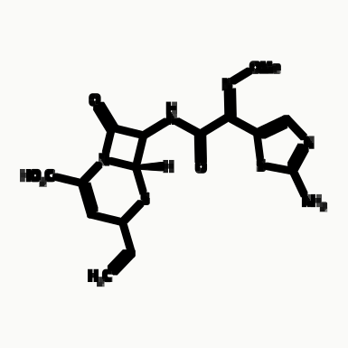 C=CC1C=C(C(=O)O)N2C(=O)C(NC(=O)C(=NOC)c3cnc(N)s3)[C@@H]2S1